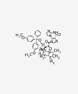 COc1ccc(C(OC[C@H]2O[C@@H](n3cnc4c(=O)[nH]c5nccn5c43)[C@H](O[Si](C(C)C)(C(C)C)C(C)C)[C@@H]2O)(c2ccccc2)c2ccc(OC)cc2)cc1